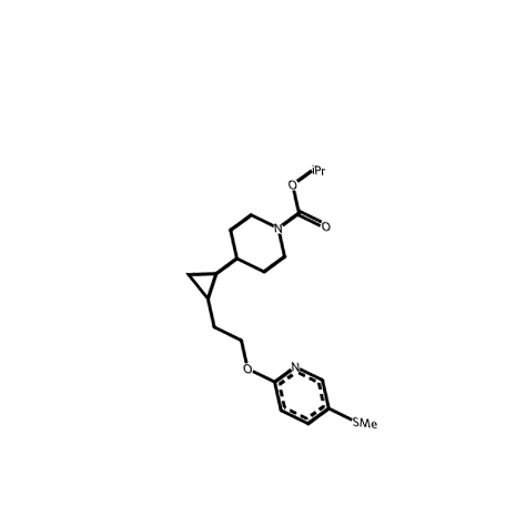 CSc1ccc(OCCC2CC2C2CCN(C(=O)OC(C)C)CC2)nc1